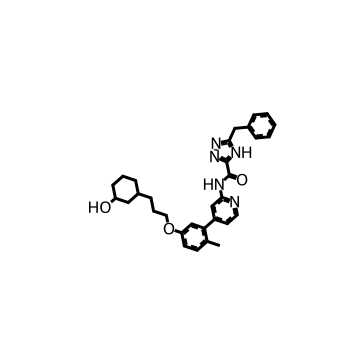 Cc1ccc(OCCCC2CCCC(O)C2)cc1-c1ccnc(NC(=O)c2nnc(Cc3ccccc3)[nH]2)c1